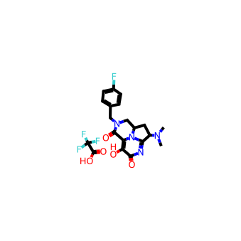 CN(C)C1CC2CN(Cc3ccc(F)cc3)C(=O)c3c(O)c(=O)nc1n32.O=C(O)C(F)(F)F